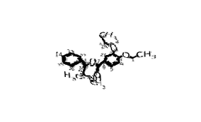 CCOc1ccc(C(=O)O[C@H](c2ccccc2)[C@@H](C)NC)cc1OCC